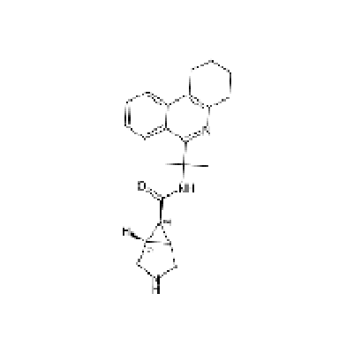 CC(C)(NC(=O)[C@H]1C2CNC[C@@H]21)c1nc2c(c3ccccc13)CCCC2